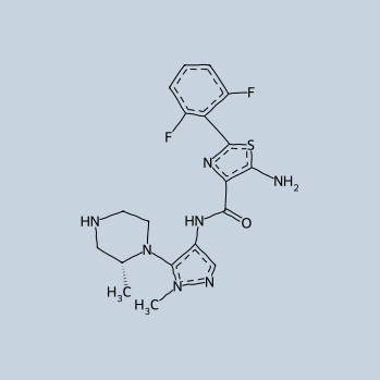 C[C@@H]1CNCCN1c1c(NC(=O)c2nc(-c3c(F)cccc3F)sc2N)cnn1C